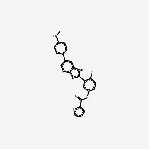 CNc1ccc(-c2cnc3nc(-c4cc(NC(=O)c5cscn5)ccc4Cl)[nH]c3c2)cc1